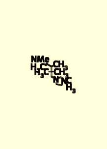 C=C(NC)C(C)C(C)(C)CN1CCN(C)C1